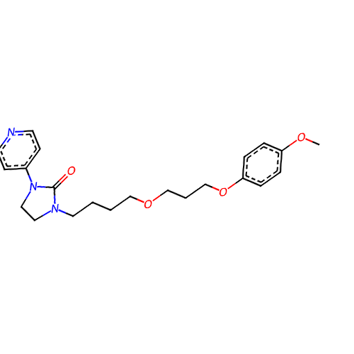 COc1ccc(OCCCOCCCCN2CCN(c3ccncc3)C2=O)cc1